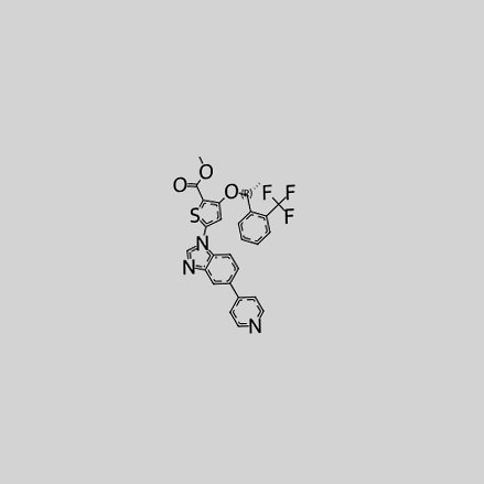 COC(=O)c1sc(-n2cnc3cc(-c4ccncc4)ccc32)cc1O[C@H](C)c1ccccc1C(F)(F)F